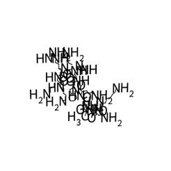 C[C@H](NC(=O)[C@H](CCN)NC(=O)[C@@H](N)CCCCCN)C(=O)NCC(=O)N[C@H](CCCN)C(=O)N1C2CCCCC2C[C@H]1C(=O)N[C@@H](Cc1cnc[nH]1)C(=O)N[C@@H](CCCCN)C(=O)N/C(=C\CCNC(=N)N)C(=O)N[C@@H](CCCCN)C(=O)NCCCCN